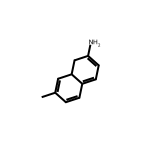 CC1=CC2CC(N)=CC=C2C=C1